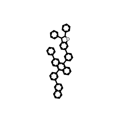 c1ccc(-c2ccc3c(-c4cccc(-c5ccc6ccccc6c5)c4)c4ccccc4c(-c4cccc(-c5ccc6c(c5)OC(c5ccccc5)C6c5ccccc5)c4)c3c2)cc1